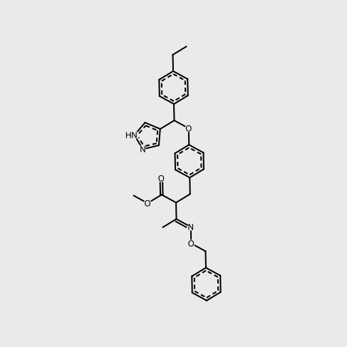 CCc1ccc(C(Oc2ccc(CC(C(=O)OC)C(C)=NOCc3ccccc3)cc2)c2cn[nH]c2)cc1